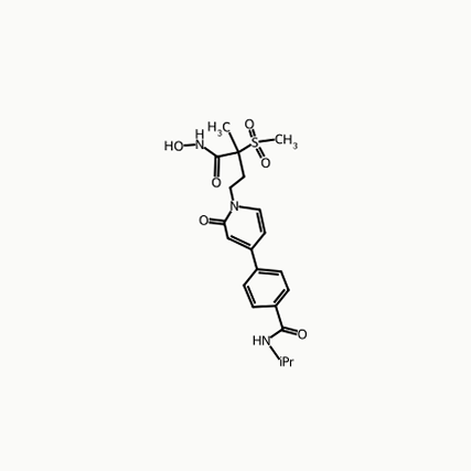 CC(C)NC(=O)c1ccc(-c2ccn(CCC(C)(C(=O)NO)S(C)(=O)=O)c(=O)c2)cc1